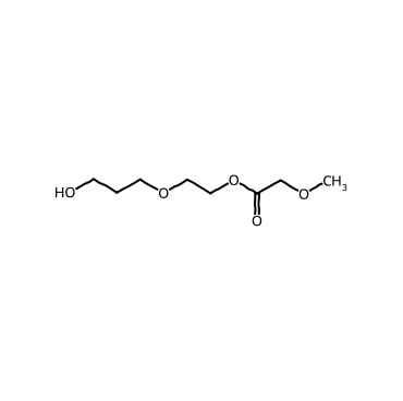 COCC(=O)OCCOCCCO